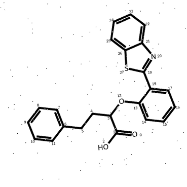 O=C(O)C(CCc1ccccc1)Oc1ccccc1-c1nc2ccccc2s1